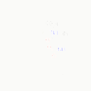 CC(C)CC(NC(=O)OCC1c2ccccc2-c2ccccc21)C(=O)NC(Sc1ccccc1)C(=O)O